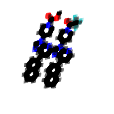 COC(=O)N1CCC(n2cnc3c(-c4ccc5ccccc5c4)ccnc32)CC1.O=C(N1CCC(n2cnc3c(-c4ccc5ccccc5c4)ccnc32)CC1)C(F)(F)F